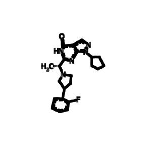 C[C@H](c1nc2c(cnn2C2CCCC2)c(=O)[nH]1)N1CCC(c2ccccc2F)C1